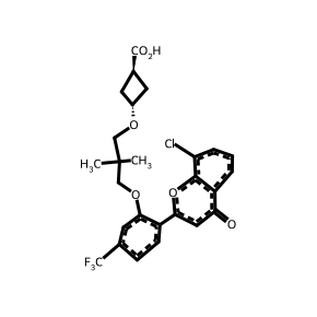 CC(C)(COc1cc(C(F)(F)F)ccc1-c1cc(=O)c2cccc(Cl)c2o1)CO[C@H]1C[C@H](C(=O)O)C1